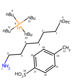 CCCCCCCCCCCCCCCCN.CCCC[PH](CCCC)(CCCC)CCCC.Cc1ccc(S(=O)(=O)O)cc1